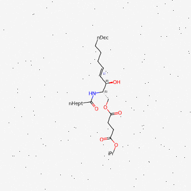 CCCCCCCCCCCCC/C=C/[C@@H](O)[C@H](COC(=O)CCC(=O)OC(C)C)NC(=O)CCCCCCC